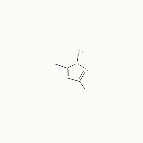 Cc1cc(F)nn1C(C)C